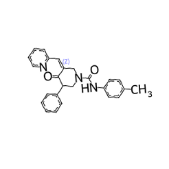 Cc1ccc(NC(=O)N2C/C(=C/c3ccccn3)C(=O)C(c3ccccc3)C2)cc1